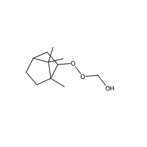 CC1(C)C2CCC1(C)C(OOCO)C2